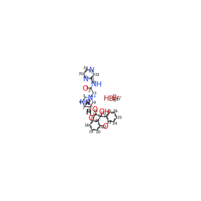 Br.O=C(C[N+]12CCC(CC1)[C@@H](OC(=O)C1(O)c3ccccc3Oc3ccccc31)N2)Nc1cnccn1.[Br-]